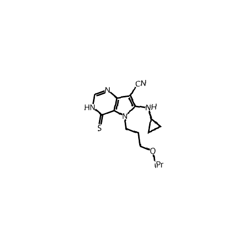 CC(C)OCCCn1c(NC2CC2)c(C#N)c2nc[nH]c(=S)c21